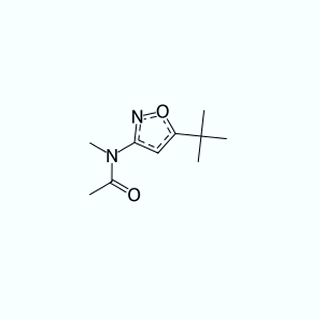 CC(=O)N(C)c1cc(C(C)(C)C)on1